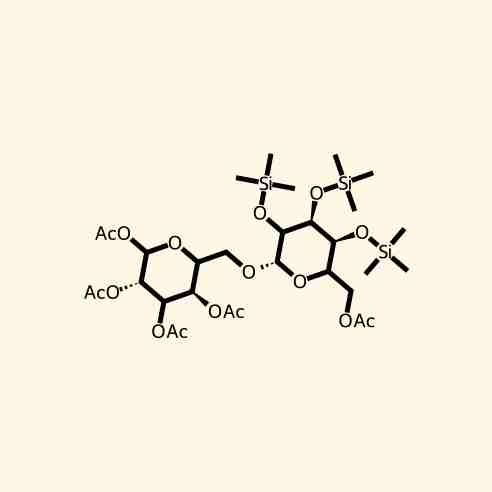 CC(=O)OCC1O[C@H](OCC2OC(OC(C)=O)[C@@H](OC(C)=O)C(OC(C)=O)[C@@H]2OC(C)=O)C(O[Si](C)(C)C)[C@@H](O[Si](C)(C)C)[C@H]1O[Si](C)(C)C